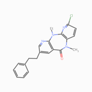 CCN1c2ncc(CCc3ccccc3)cc2C(=O)N(C)c2ccc(Cl)nc21